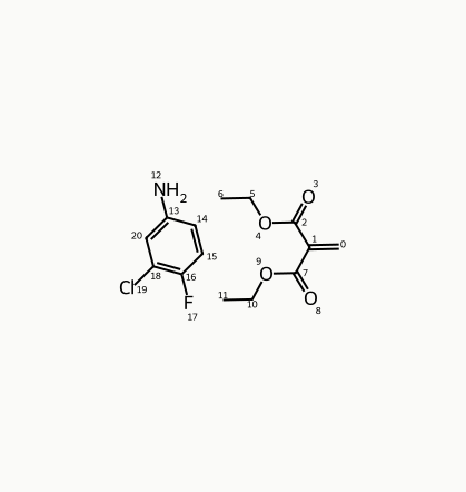 C=C(C(=O)OCC)C(=O)OCC.Nc1ccc(F)c(Cl)c1